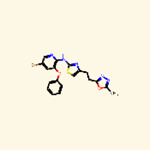 Cc1nnc(CCc2csc(Nc3ncc(Br)cc3Oc3ccccc3)n2)o1